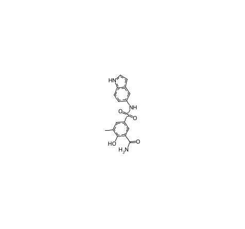 Cc1cc(S(=O)(=O)Nc2ccc3[nH]ccc3c2)cc(C(N)=O)c1O